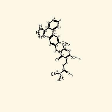 CCCCc1nc(C)c(CCC(=S)N(CC)CC)c(=O)n1Cc1ccc(-c2ccccc2-c2nnn[nH]2)cc1